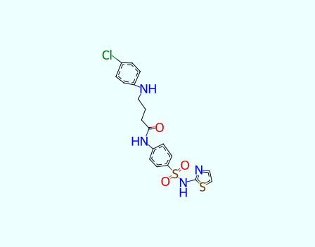 O=C(CCCNc1ccc(Cl)cc1)Nc1ccc(S(=O)(=O)Nc2nccs2)cc1